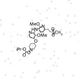 COc1nc(CCS(C)(=O)=O)ccc1Nc1nccc(OC2CCN(OC(=O)OC(C)C)CC2)c1OC